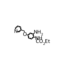 CCOC(=O)Nc1ccc(OCc2cccnc2)cc1N